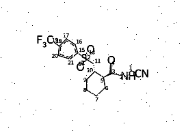 N#CCNC(=O)[C@H]1CCCC[C@@H]1CS(=O)(=O)c1ccc(C(F)(F)F)cc1